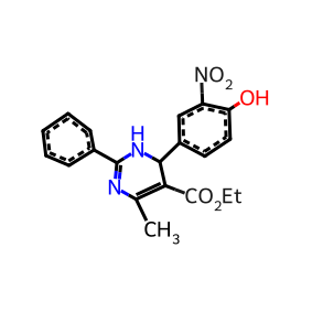 CCOC(=O)C1=C(C)N=C(c2ccccc2)NC1c1ccc(O)c([N+](=O)[O-])c1